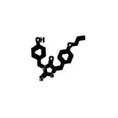 C=CCOc1ccc(C=C2SC(=S)N(Cc3ccc(O)cc3)C2=O)cc1